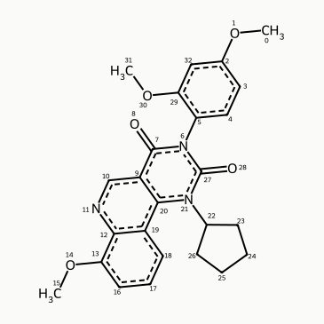 COc1ccc(-n2c(=O)c3cnc4c(OC)cccc4c3n(C3CCCC3)c2=O)c(OC)c1